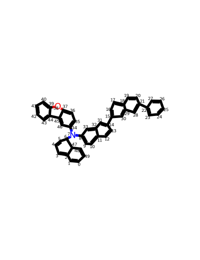 C1=CC2=CC=CC(N(c3ccc4ccc(-c5ccc6ccc(-c7ccccc7)cc6c5)cc4c3)c3ccc4oc5ccccc5c4c3)C2C=C1